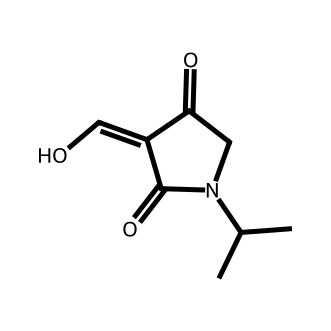 CC(C)N1CC(=O)/C(=C/O)C1=O